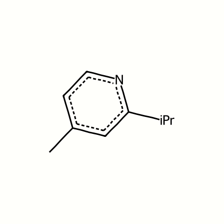 [CH2]C(C)c1cc(C)ccn1